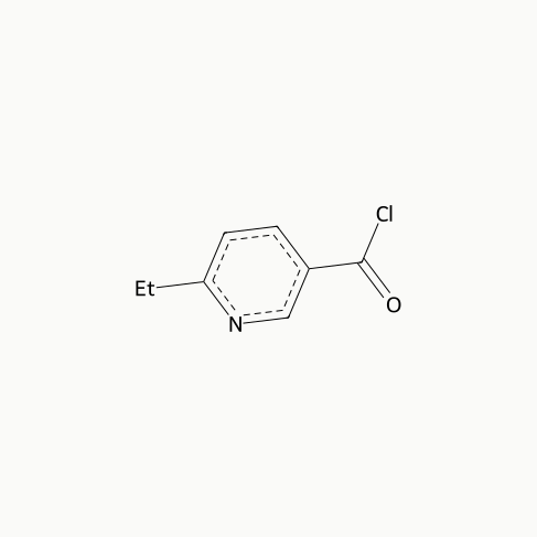 CCc1ccc(C(=O)Cl)cn1